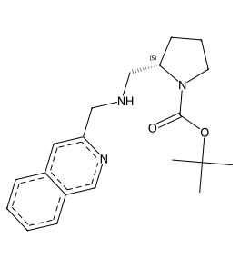 CC(C)(C)OC(=O)N1CCC[C@H]1CNCc1cc2ccccc2cn1